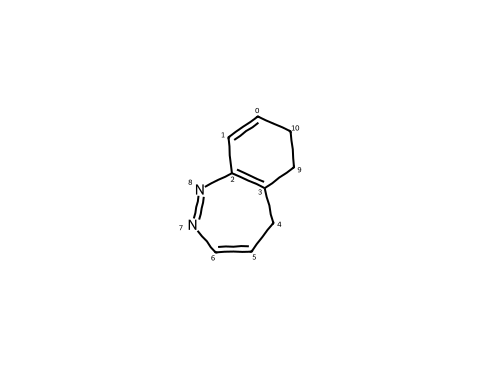 C1=CC2=C(CC=CN=N2)CC1